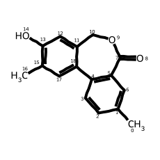 Cc1ccc2c(c1)C(=O)OCc1cc(O)c(C)cc1-2